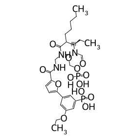 CCCCCC(C(=O)NCNC(=O)c1ccc(-c2cc(OCC)cc(P(=O)(O)O)c2)o1)[C@@H](CC)N(C=O)OCOP(=O)(O)O